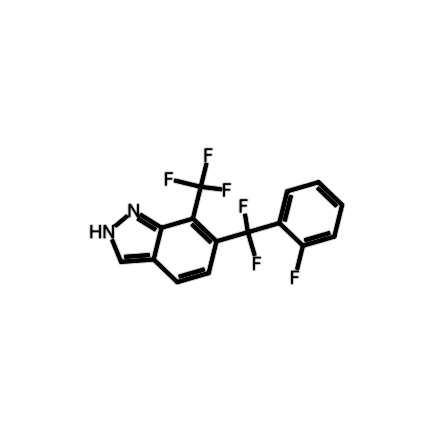 Fc1ccccc1C(F)(F)c1ccc2c[nH]nc2c1C(F)(F)F